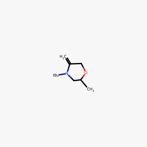 C=C1COC(C)CN1C(C)(C)C